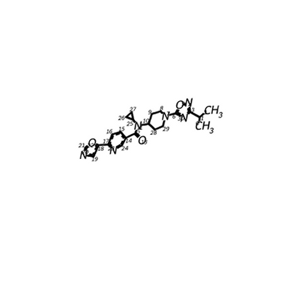 CC(C)c1noc(N2CCC(N(C(=O)c3ccc(-c4cnco4)nc3)C3CC3)CC2)n1